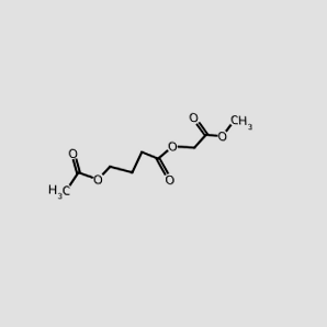 COC(=O)COC(=O)CCCOC(C)=O